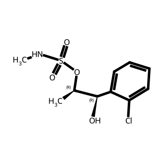 CNS(=O)(=O)O[C@H](C)[C@H](O)c1ccccc1Cl